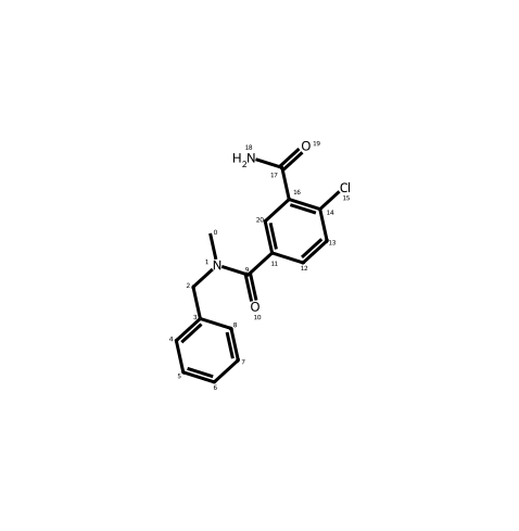 CN(Cc1ccccc1)C(=O)c1ccc(Cl)c(C(N)=O)c1